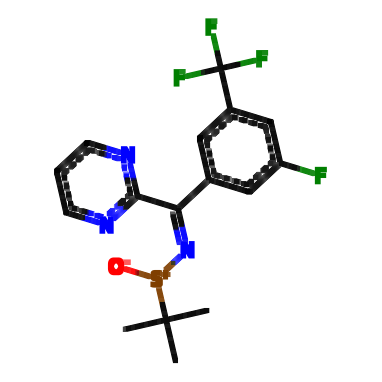 CC(C)(C)[S+]([O-])N=C(c1cc(F)cc(C(F)(F)F)c1)c1ncccn1